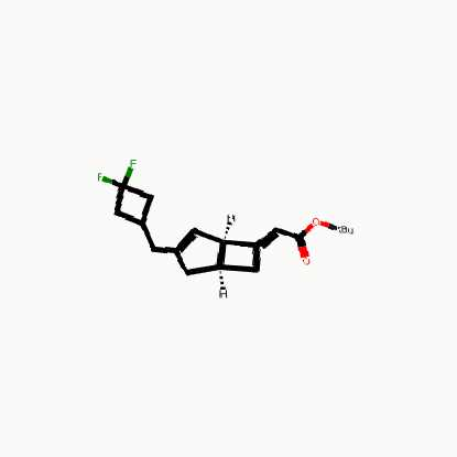 CC(C)(C)OC(=O)C=C1C[C@H]2CC(CC3CC(F)(F)C3)=C[C@@H]12